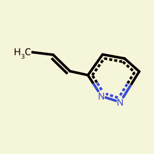 C/C=C/c1cccnn1